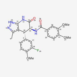 COc1ccc([C@@H]2c3c(C)n[nH]c3NC(=O)[C@H]2NC(=O)c2ccc(OC)c(OC)c2)cc1F